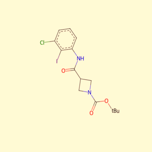 CC(C)(C)OC(=O)N1CC(C(=O)Nc2cccc(Cl)c2I)C1